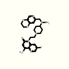 BN(Cc1cc2c(cn1)OCCO2)C1CCN(CCn2c(=O)cc(C)c3ncc(F)cc32)CC1